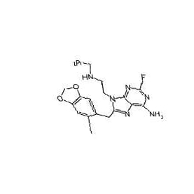 CC(C)CNCCn1c(Cc2cc3c(cc2I)OCO3)nc2c(N)nc(F)nc21